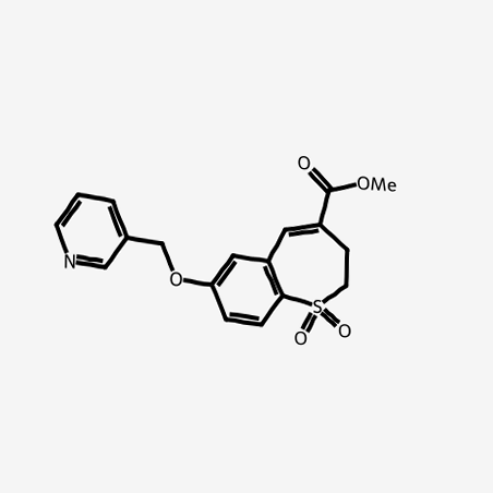 COC(=O)C1=Cc2cc(OCc3cccnc3)ccc2S(=O)(=O)CC1